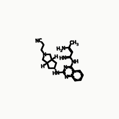 C/C(N)=C/C(=N)Nc1nc(N[C@@H]2C[C@@H]3CN(CCC#N)C[C@@H]3C2)nc2ccccc12